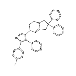 Fc1ccc(-c2[nH]cc(C3C=C4CC(c5ccccc5)(c5ccccc5)CN4CC3)c2-c2ccncc2)cc1